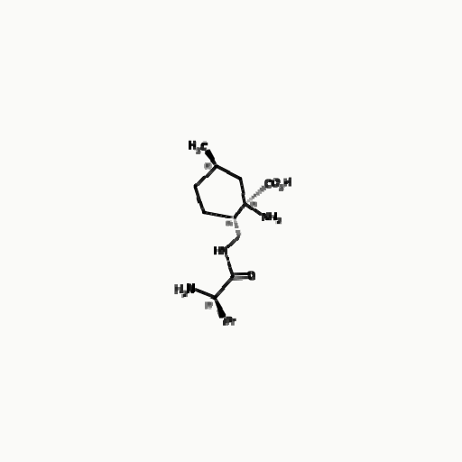 CC(C)[C@@H](N)C(=O)NC[C@@H]1CC[C@@H](C)C[C@]1(N)C(=O)O